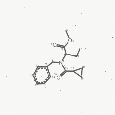 CC[C@H](C(=O)OC)N(Cc1ccccc1)C(=O)C1CC1